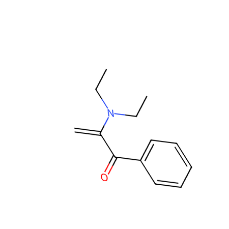 C=C(C(=O)c1ccccc1)N(CC)CC